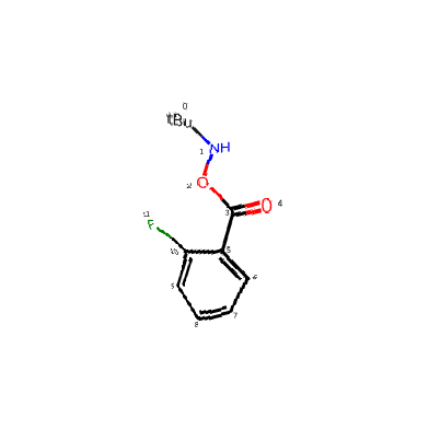 CC(C)(C)NOC(=O)c1ccccc1F